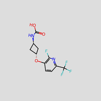 O=C(O)N[C@H]1C[C@H](Oc2ccc(C(F)(F)F)nc2F)C1